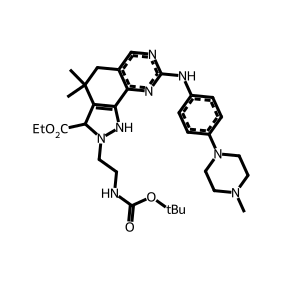 CCOC(=O)C1C2=C(NN1CCNC(=O)OC(C)(C)C)c1nc(Nc3ccc(N4CCN(C)CC4)cc3)ncc1CC2(C)C